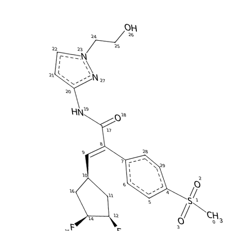 CS(=O)(=O)c1ccc(/C(=C\[C@H]2C[C@@H](F)[C@@H](F)C2)C(=O)Nc2ccn(CCO)n2)cc1